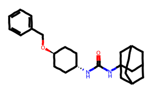 O=C(NC12CC3CC(CC(C3)C1)C2)N[C@H]1CC[C@H](OCc2ccccc2)CC1